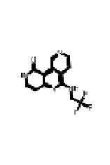 O=c1[nH]ccc2nc(NCC(F)(F)F)c3ccncc3c12